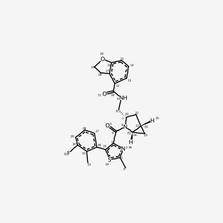 Cc1nc(C(=O)N2[C@H](CNC(=O)c3cccc4c3CCO4)C[C@@H]3C[C@@H]32)c(-c2cccc(F)c2C)s1